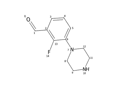 O=Cc1cccc(N2CCNCC2)c1F